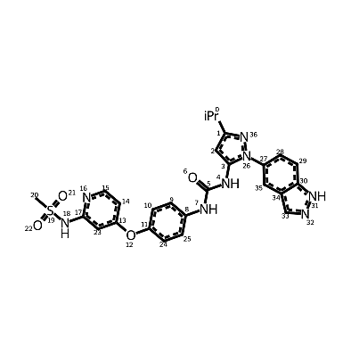 CC(C)c1cc(NC(=O)Nc2ccc(Oc3ccnc(NS(C)(=O)=O)c3)cc2)n(-c2ccc3[nH]ncc3c2)n1